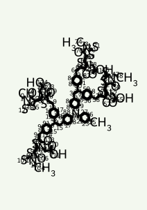 CCN1C(=O)/C(=c2/s/c(=C\c3ccc(/C(=C\c4ccc(N(c5ccc(C)cc5)c5ccc(/C=C(\c6ccc(/C=c7\s/c(=C8\SC(=S)N(CC)C8=O)n(CC(=O)O)c7=O)cc6)c6ccc(/C=c7/s/c(=C8/SC(=S)N(CC)C8=O)n(CC(=O)O)c7=O)cc6)cc5)cc4)c4ccc(/C=c5/s/c(=C6\SC(=S)N(CC)C6=O)n(CC(=O)O)c5=O)cc4)cc3)c(=O)n2CC(=O)O)SC1=S